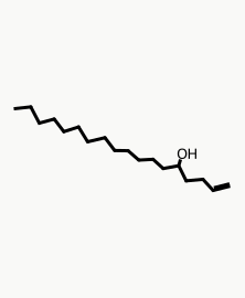 C=CCCC(O)CCCCCCCCCCCCC